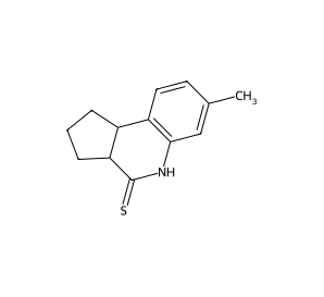 Cc1ccc2c(c1)NC(=S)C1CCCC21